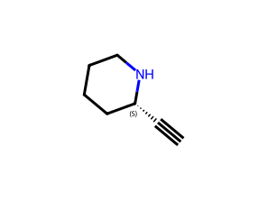 C#C[C@@H]1CCCCN1